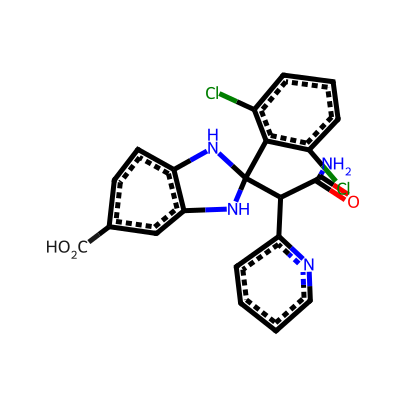 NC(=O)C(c1ccccn1)C1(c2c(Cl)cccc2Cl)Nc2ccc(C(=O)O)cc2N1